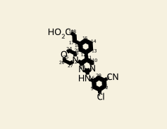 N#Cc1cc(Cl)cc(Nc2ncc(-c3cccc(C=CC(=O)O)c3)c(N3CCOCC3)n2)c1